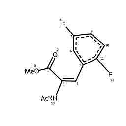 COC(=O)C(=Cc1cc(F)ccc1F)NC(C)=O